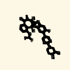 CN1C(=O)c2cccc(OC(F)F)c2[C@H]2C[C@H]1c1nc3cc(F)c(-c4cnc(N5CCNC(=O)C5)nc4)cc3n12